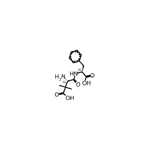 CC(C)(C(=O)O)[C@H](N)C(=O)N[C@@H](Cc1ccccc1)C(=O)O